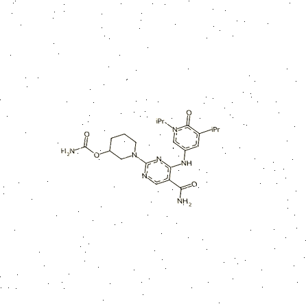 CC(C)c1cc(Nc2nc(N3CCCC(OC(N)=O)C3)ncc2C(N)=O)cn(C(C)C)c1=O